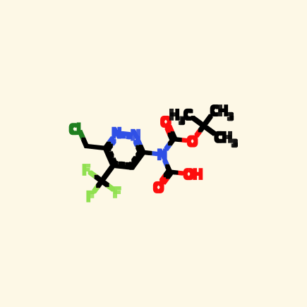 CC(C)(C)OC(=O)N(C(=O)O)c1cc(C(F)(F)F)c(CCl)nn1